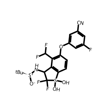 CC(C)(C)[S@@+]([O-])NC1c2c(ccc(Oc3cc(F)cc(C#N)c3)c2C(F)F)S(O)(O)C1(F)F